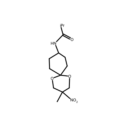 CC(C)C(=O)NC1CCC2(CC1)OCC(C)([N+](=O)[O-])CO2